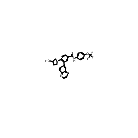 O=C(Nc1ccc(OC(F)(F)F)cc1)c1cnc(N2CCC(O)C2)c(-c2ccc3nccnc3c2)c1